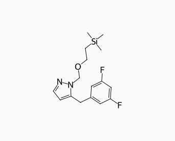 C[Si](C)(C)CCOCn1nccc1Cc1cc(F)cc(F)c1